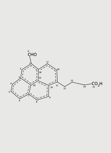 O=Cc1cc2cccc3ccc4c(CCCC(=O)O)ccc1c4c32